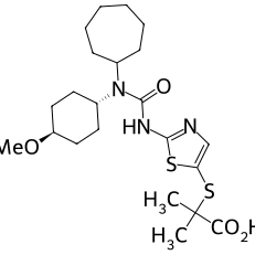 CO[C@H]1CC[C@H](N(C(=O)Nc2ncc(SC(C)(C)C(=O)O)s2)C2CCCCCC2)CC1